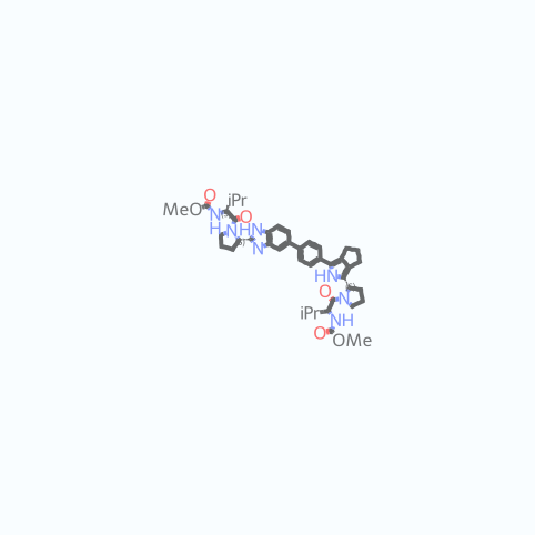 COC(=O)NC(C(=O)N1CCC[C@H]1c1[nH]c(-c2ccc(-c3ccc4[nH]c([C@@H]5CCCN5C(=O)[C@@H](NC(=O)OC)C(C)C)nc4c3)cc2)c2c1CCC2)C(C)C